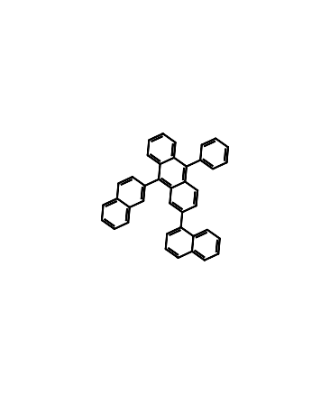 c1ccc(-c2c3ccccc3c(-c3ccc4ccccc4c3)c3cc(-c4cccc5ccccc45)ccc23)cc1